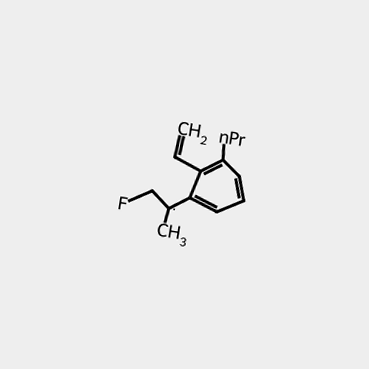 C=Cc1c(CCC)cccc1[C](C)CF